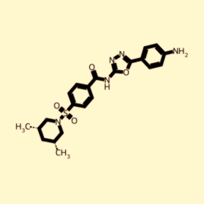 C[C@@H]1C[C@H](C)CN(S(=O)(=O)c2ccc(C(=O)Nc3nnc(-c4ccc(N)cc4)o3)cc2)C1